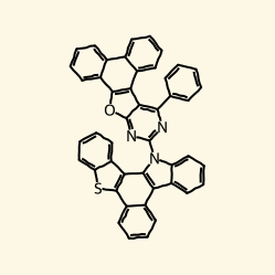 c1ccc(-c2nc(-n3c4ccccc4c4c5ccccc5c5sc6ccccc6c5c43)nc3oc4c5ccccc5c5ccccc5c4c23)cc1